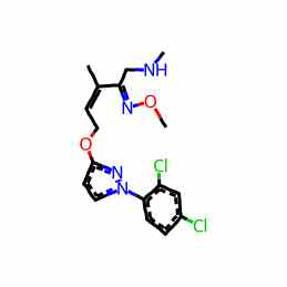 CNCC(=NOC)C(C)=CCOc1ccn(-c2ccc(Cl)cc2Cl)n1